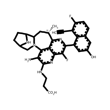 C#Cc1c(F)ccc2cc(O)cc(-c3nc4c5c(c(N)c(NCCC(=O)O)nc5c3F)N3CC5CCC(N5)C3C[C@@H]4C)c12